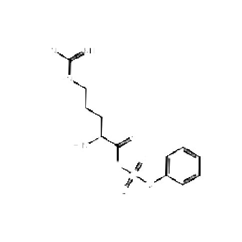 N=C(N)NCCC[C@H](N)C(=O)OS(=O)(=O)Oc1ccccc1